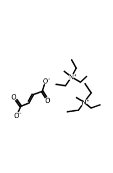 CC[N+](C)(CC)CC.CC[N+](C)(CC)CC.O=C([O-])C=CC(=O)[O-]